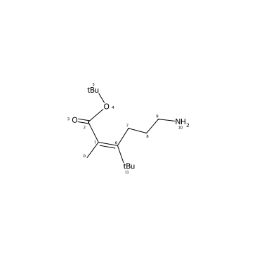 CC(C(=O)OC(C)(C)C)=C(CCCN)C(C)(C)C